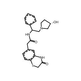 O=C1CSc2ccc(CC(=O)NC(CN3CC[C@H](O)C3)c3ccccc3)cc2N1